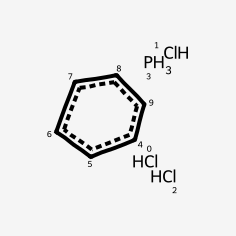 Cl.Cl.Cl.P.c1ccccc1